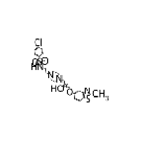 Cc1nc2cc(OC[C@H](O)CN3CCN(CCNS(=O)(=O)c4ccc(Cl)cc4)CC3)ccc2s1